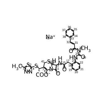 Cc1nnc(SCC2=C(C(=O)[O-])N3C(=O)C(NC(=O)Cc4ccccc4NC(=O)N(C)C(=O)/C=C/c4ccccc4)[C@H]3SC2)s1.[Na+]